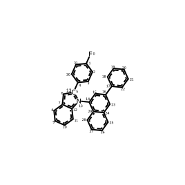 Fc1ccc(-[13c]2cc3ccccc3n2-c2cc(-c3ccccc3)cc3ccccc23)cc1